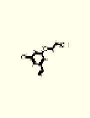 C=Cc1cc(Cl)cc(OCCO)c1